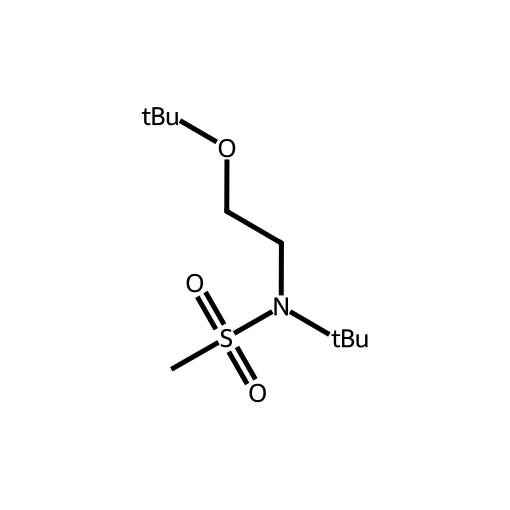 CC(C)(C)OCCN(C(C)(C)C)S(C)(=O)=O